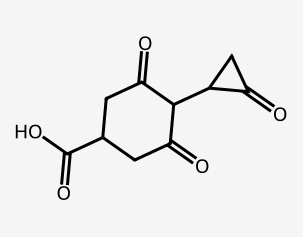 O=C(O)C1CC(=O)C(C2CC2=O)C(=O)C1